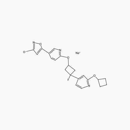 [Na+].[O-]c1cc(-c2ccc(OC3CC(F)(c4ccnc(OC5CCC5)c4)C3)nc2)on1